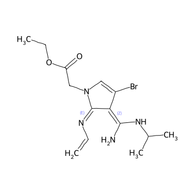 C=C/N=C1\C(=C(/N)NC(C)C)C(Br)=CN1CC(=O)OCC